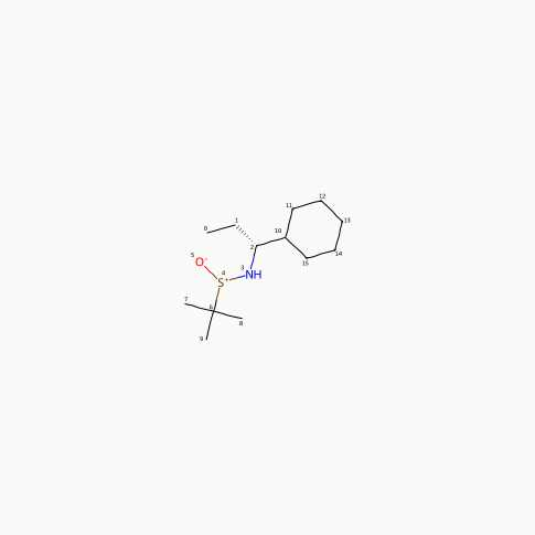 CC[C@@H](N[S+]([O-])C(C)(C)C)C1CCCCC1